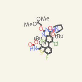 COC(COc1nc(N2CC3CCC(C2)N3C(=O)OC(C)(C)C)c2cc(Cl)c(-c3ccc(F)c4sc(NC(=O)OC(C)(C)C)c(C#N)c34)c(F)c2n1)OC